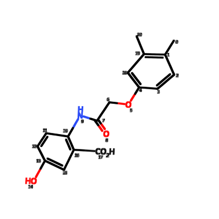 Cc1ccc(OCC(=O)Nc2ccc(O)cc2C(=O)O)cc1C